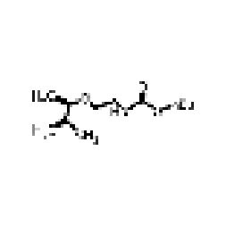 C=C(C)C(=C)OCCNC(=O)OCCCC